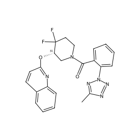 Cc1nnn(-c2ccccc2C(=O)N2CCC(F)(F)[C@@H](Oc3ccc4ccccc4n3)C2)n1